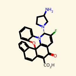 NC1CCN([C@@H]2C(F)=CC3=C4N2c2ccccc2OC42C(=C(C(=O)O)C3=O)C=Cc3ccccc32)C1